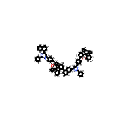 c1ccc(-c2nc(-c3ccc(-c4cccc5c4Oc4ccccc4C54c5ccccc5-c5ccccc54)cc3)cc(-c3ccc4c(-c5cccc6c5-c5ccccc5C65c6ccccc6Oc6c(-c7ccc(-c8cc(-c9cccc%10ccccc9%10)nc(-c9ccccc9)n8)cc7)cccc65)cccc4c3)n2)cc1